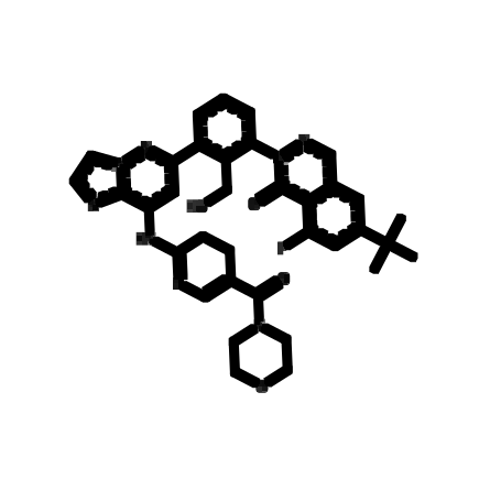 CC(C)(C)c1cc(F)c2c(=O)n(-c3cccc(-c4cc(NC5=NC=C(C(=O)N6CCOCC6)CC5)c5nccn5n4)c3CO)ncc2c1